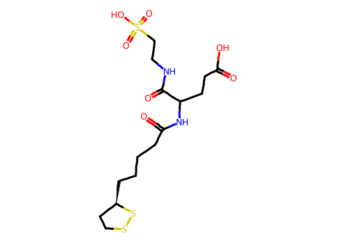 O=C(O)CCC(NC(=O)CCCC[C@@H]1CCSS1)C(=O)NCCS(=O)(=O)O